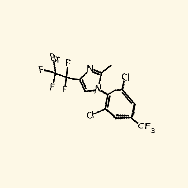 Cc1nc(C(F)(F)C(F)(F)Br)cn1-c1c(Cl)cc(C(F)(F)F)cc1Cl